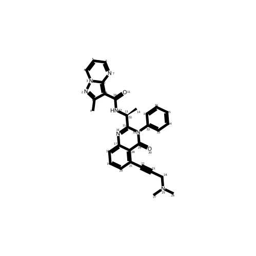 Cc1nn2cccnc2c1C(=O)N[C@@H](C)c1nc2cccc(C#CCN(C)C)c2c(=O)n1-c1ccccc1